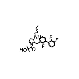 CCSCNC1CCN(C(=O)C(C)(C)O)C1Cc1cccc(-c2cccc(F)c2F)c1F